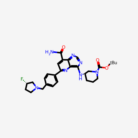 CC(C)(C)OC(=O)N1CCC[C@H](Nc2ncnc3c(C(N)=O)cc(-c4ccc(CN5CC[C@H](F)C5)cc4)nc23)C1